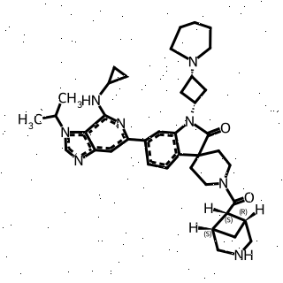 CC(C)n1cnc2cc(-c3ccc4c(c3)N([C@H]3C[C@@H](N5CCCCC5)C3)C(=O)C43CCN(C(=O)[C@@H]4[C@@H]5CNC[C@H]4C5)CC3)nc(NC3CC3)c21